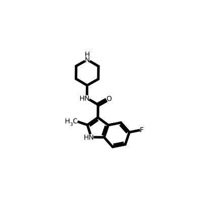 Cc1[nH]c2ccc(F)cc2c1C(=O)NC1CCNCC1